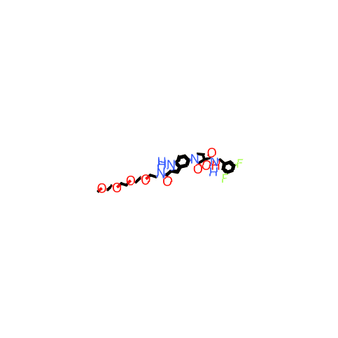 COCCOCCOCCOCCNC(=O)c1cc2cc(N3CCC(O)(C(=O)NCc4cc(F)cc(F)c4)C3=O)ccc2[nH]1